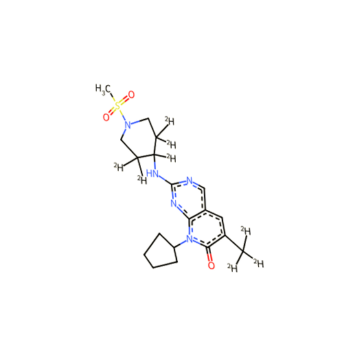 [2H]C([2H])([2H])c1cc2cnc(NC3([2H])C([2H])([2H])CN(S(C)(=O)=O)CC3([2H])[2H])nc2n(C2CCCC2)c1=O